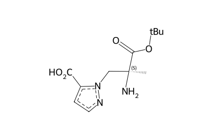 CC(C)(C)OC(=O)[C@@](C)(N)Cn1nccc1C(=O)O